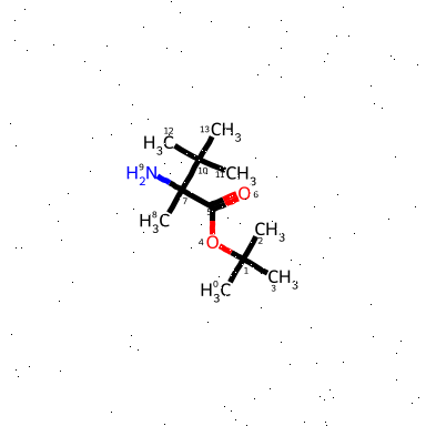 CC(C)(C)OC(=O)C(C)(N)C(C)(C)C